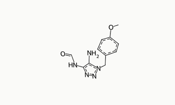 COc1ccc(Cn2nnc(NC=O)c2N)cc1